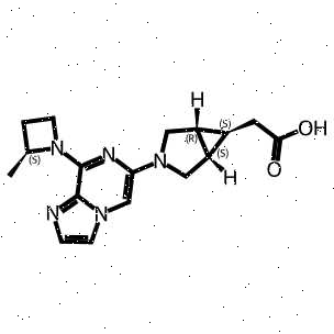 C[C@H]1CCN1c1nc(N2C[C@@H]3[C@@H](CC(=O)O)[C@@H]3C2)cn2ccnc12